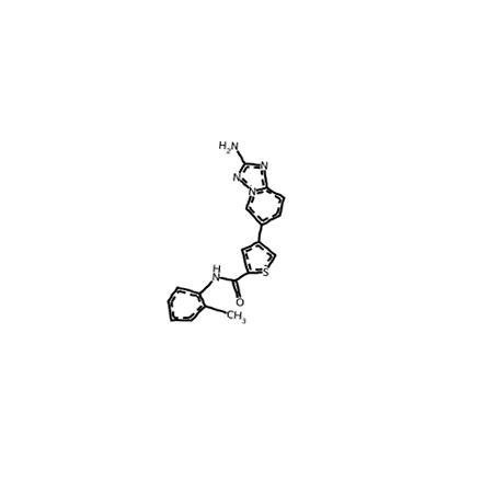 Cc1ccccc1NC(=O)c1cc(-c2ccc3nc(N)nn3c2)cs1